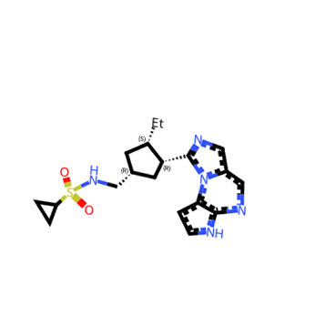 CC[C@H]1C[C@@H](CNS(=O)(=O)C2CC2)C[C@H]1c1ncc2cnc3[nH]ccc3n12